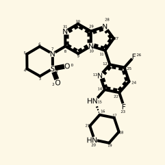 O=S1(=O)CCCCN1c1cn2c(-c3nc(N[C@@H]4CCCNC4)c(F)cc3F)cnc2cn1